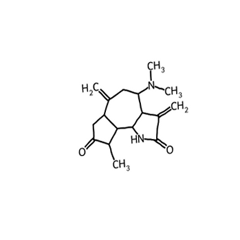 C=C1CC(N(C)C)C2C(=C)C(=O)NC2C2C(C)C(=O)CC12